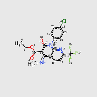 CCOC(=O)c1c(NC)c2ccc(C(F)(F)F)nc2n(-c2ccc(Cl)cc2)c1=O